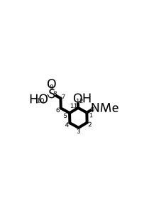 CNC1CCCC(CCS(=O)O)C1O